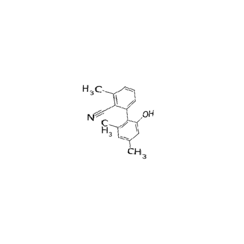 Cc1cc(C)c(-c2cccc(C)c2C#N)c(O)c1